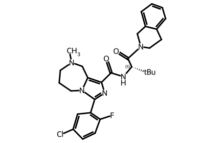 CN1CCCn2c(-c3cc(Cl)ccc3F)nc(C(=O)N[C@H](C(=O)N3CCc4ccccc4C3)C(C)(C)C)c2C1